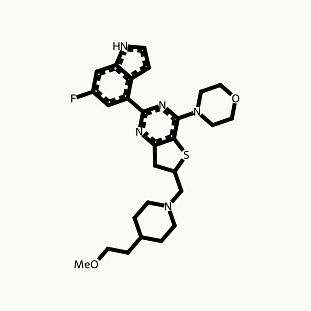 COCCC1CCN(CC2Cc3nc(-c4cc(F)cc5[nH]ccc45)nc(N4CCOCC4)c3S2)CC1